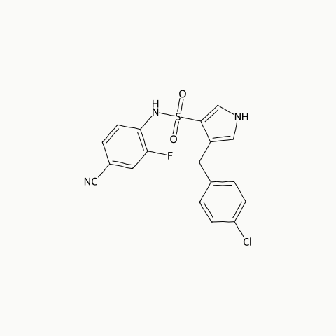 N#Cc1ccc(NS(=O)(=O)c2c[nH]cc2Cc2ccc(Cl)cc2)c(F)c1